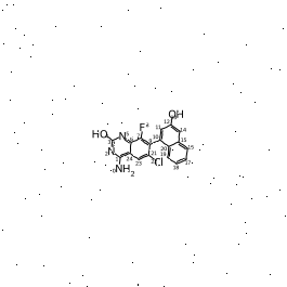 Nc1nc(O)nc2c(F)c(-c3cc(O)cc4ccccc34)c(Cl)cc12